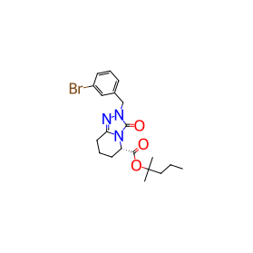 CCCC(C)(C)OC(=O)[C@@H]1CCCc2nn(Cc3cccc(Br)c3)c(=O)n21